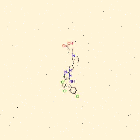 C[C@@H](Nc1nc(N2CC(C3CCCN(C4CC(C(=O)O)C4)C3)C2)ncc1Cl)c1ccc(Cl)cc1Cl